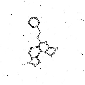 c1ccc(COc2nc3ncnn3c3c2cnc2[nH]ncc23)cc1